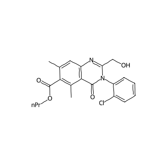 CCCOC(=O)c1c(C)cc2nc(CO)n(-c3ccccc3Cl)c(=O)c2c1C